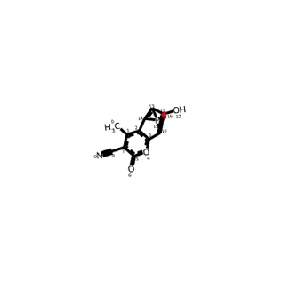 Cc1c2c(oc(=O)c1C#N)C1=C(O)C3=C2P31=O